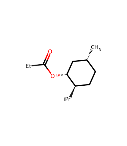 CCC(=O)O[C@@H]1C[C@H](C)CC[C@H]1C(C)C